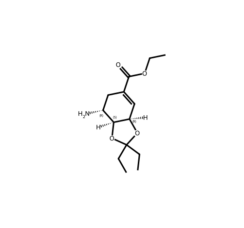 CCOC(=O)C1=C[C@H]2OC(CC)(CC)O[C@H]2[C@H](N)C1